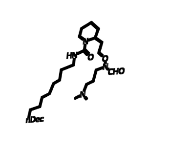 CCCCCCCCCCCCCCCCCCNC(=O)N1CCCCC1CCON(C=O)CCCN(C)C